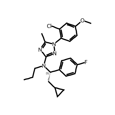 CCCN(c1nc(C)n(-c2ccc(OC)cc2Cl)n1)[C@@H](CC1CC1)c1ccc(F)cc1